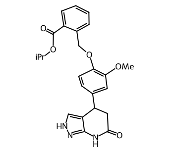 COc1cc(C2CC(=O)Nc3n[nH]cc32)ccc1OCc1ccccc1C(=O)OC(C)C